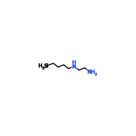 NCCNCCCC[SiH3]